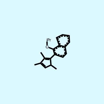 CC1=CC(C)C(c2ccc3ccccc3c2OC(C)C)=C1C